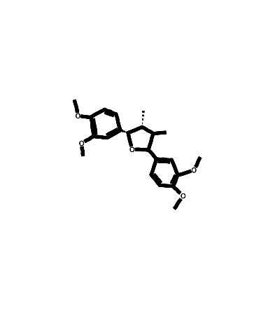 COc1ccc(C2O[C@H](c3ccc(OC)c(OC)c3)[C@H](C)C2C)cc1OC